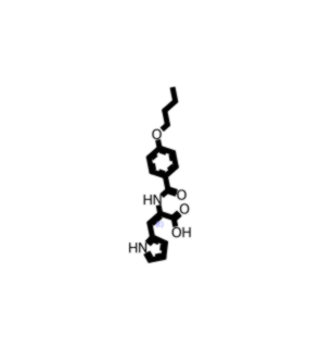 CCCCOc1ccc(C(=O)N/C(=C/c2ccc[nH]2)C(=O)O)cc1